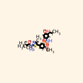 CCCc1cc(NS(=O)(=O)c2cc(-c3sc(NC(=O)C(C)(C)C)nc3C)ccc2OC)ccc1O